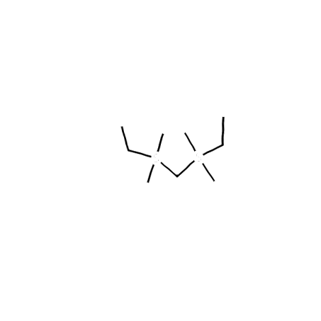 CCS(C)(C)CS(C)(C)CC